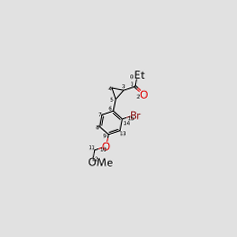 CCC(=O)C1CC1c1ccc(OCOC)cc1Br